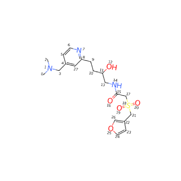 CN(C)Cc1ccnc(CCC(O)CNC(=O)CS(=O)(=O)Cc2ccoc2)c1